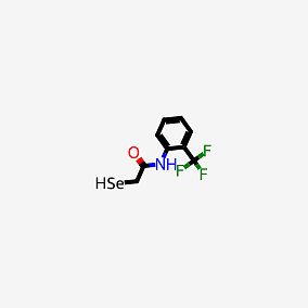 O=C(C[SeH])Nc1ccccc1C(F)(F)F